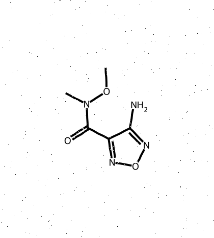 CON(C)C(=O)c1nonc1N